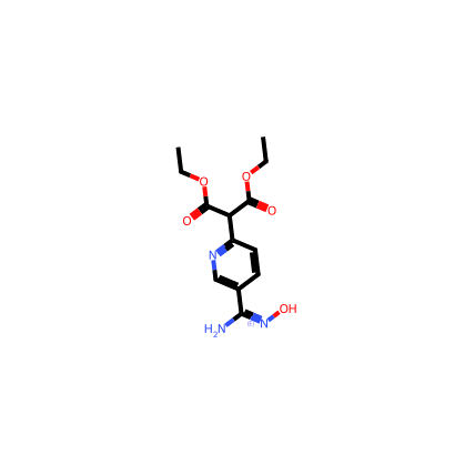 CCOC(=O)C(C(=O)OCC)c1ccc(/C(N)=N\O)cn1